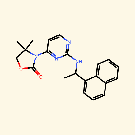 CC(Nc1nccc(N2C(=O)OCC2(C)C)n1)c1cccc2ccccc12